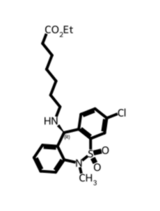 CCOC(=O)CCCCCCN[C@@H]1c2ccccc2N(C)S(=O)(=O)c2cc(Cl)ccc21